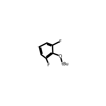 CC(C)(C)Oc1c(F)c[c]cc1F